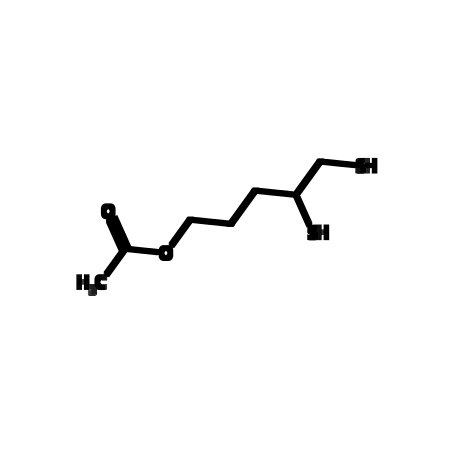 CC(=O)OCCCC(S)CS